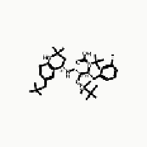 CC(C)(C)Cc1ccc2c(c1)[C@@H](NC[C@@H](O[Si](C)(C)C(C)(C)C)[C@H](Cc1cccc(F)c1)N(C(=O)O)C(C)(C)C)CC(C)(C)N2